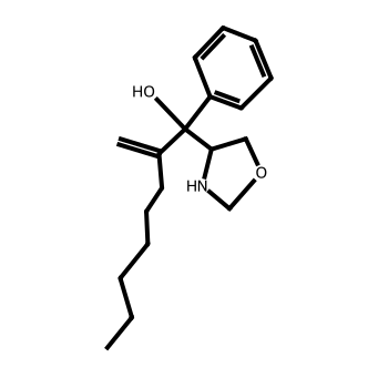 C=C(CCCCCC)C(O)(c1ccccc1)C1COCN1